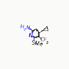 CSc1nc(N)cc(C2CC2)c1C(F)(F)F